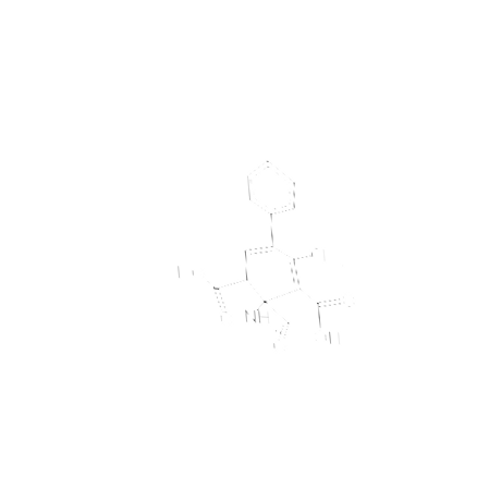 CC1=C(C(=O)O)C(N)(C=O)C(C(=O)O)C=C1c1ccccc1